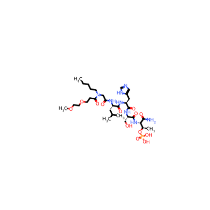 CCCCCN(CC(=O)N[C@@H](CC(C)C)C(=O)N[C@@H](Cc1cnc[nH]1)C(=O)N[C@@H](CO)C(=O)N[C@H](C(N)=O)[C@@H](C)OP(=O)(O)O)C(=O)CCOCCOC